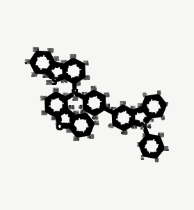 c1ccc(-n2c3ccccc3c3cc(-c4ccc(N(c5cccc6c5sc5ccccc56)c5cccc6oc7ccccc7c56)cc4)ccc32)cc1